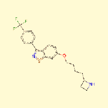 FC(F)(F)c1ccc(-c2nsc3cc(OCCCCC4CCN4)ccc23)cc1